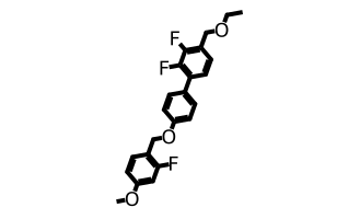 CCOCc1ccc(-c2ccc(OCc3ccc(OC)cc3F)cc2)c(F)c1F